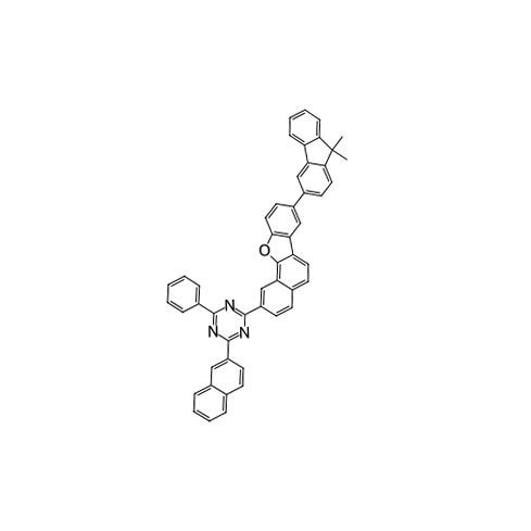 CC1(C)c2ccccc2-c2cc(-c3ccc4oc5c6cc(-c7nc(-c8ccccc8)nc(-c8ccc9ccccc9c8)n7)ccc6ccc5c4c3)ccc21